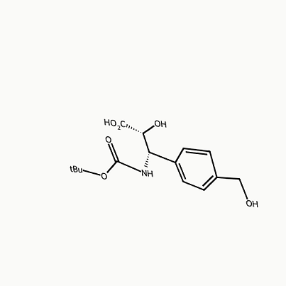 CC(C)(C)OC(=O)N[C@@H](c1ccc(CO)cc1)[C@@H](O)C(=O)O